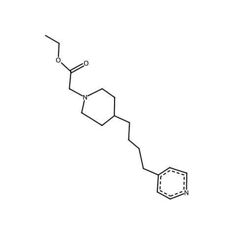 CCOC(=O)CN1CCC(CCCCc2ccncc2)CC1